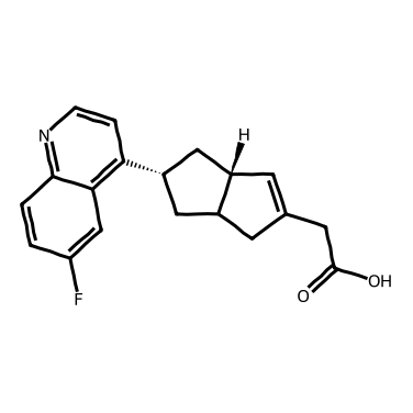 O=C(O)CC1=C[C@H]2C[C@@H](c3ccnc4ccc(F)cc34)CC2C1